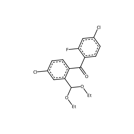 CCOC(OCC)c1cc(Cl)ccc1C(=O)c1ccc(Cl)cc1F